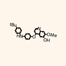 COc1cc2nccc(Oc3ccc(Nc4ccc(C(C)(C)C)cc4)cc3)c2cc1O